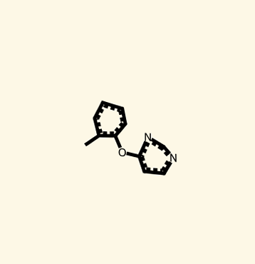 Cc1ccccc1Oc1ccncn1